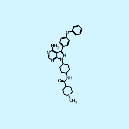 CN1CCC(C(=O)NC2CCC(n3nc(-c4ccc(Oc5ccccc5)cc4)c4c(N)ncnc43)CC2)CC1